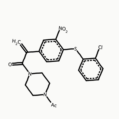 C=C(C(=O)N1CCN(C(C)=O)CC1)c1ccc(Sc2ccccc2Cl)c([N+](=O)[O-])c1